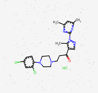 Cc1cc(C)nc(-n2ncc(C(=O)CCN3CCN(c4ccc(Cl)cc4Cl)CC3)c2C)n1.Cl